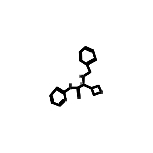 O=C(Nc1ccccn1)[C@@H](NCc1ccccc1)C1COC1